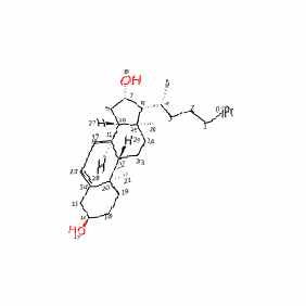 CC(C)CCC[C@@H](C)[C@H]1[C@@H](O)C[C@H]2[C@@H]3CC=C4C[C@H](O)CC[C@]4(C)[C@H]3CC[C@]12C